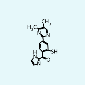 Cc1cnc(-c2ccc(C(=O)c3ncc[nH]3)c(S)c2)nc1C